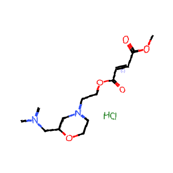 COC(=O)/C=C/C(=O)OCCN1CCOC(CN(C)C)C1.Cl